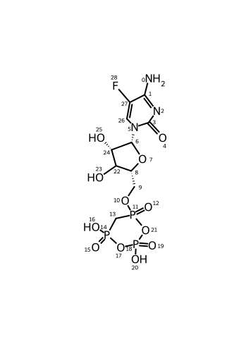 Nc1nc(=O)n([C@@H]2O[C@H](COP3(=O)CP(=O)(O)OP(=O)(O)O3)C(O)[C@@H]2O)cc1F